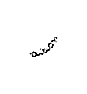 COC(=O)CN1CCN(CC2CN(CCCC3CCN(C)CC3)C(=O)O2)CC1